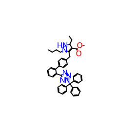 CCCCN1NC(CC)C(C(=O)OC)=C1Cc1ccc(-c2ccccc2-c2nnn(C(c3ccccc3)(c3ccccc3)c3ccccc3)n2)cc1